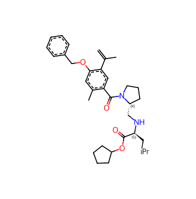 C=C(C)c1cc(C(=O)N2CCC[C@@H]2CN[C@@H](CC(C)C)C(=O)OC2CCCC2)c(C)cc1OCc1ccccc1